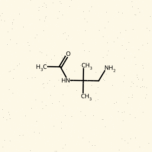 CC(=O)NC(C)(C)CN